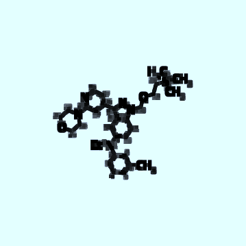 CCN(c1cccc(C)c1)c1ccc2c(c1)c(-c1ccnc(N3CCOCC3)c1)nn2COCC[Si](C)(C)C